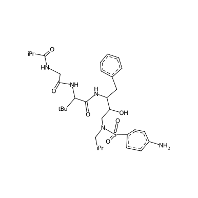 CC(C)CN(CC(O)C(Cc1ccccc1)NC(=O)C(NC(=O)CNC(=O)C(C)C)C(C)(C)C)S(=O)(=O)c1ccc(N)cc1